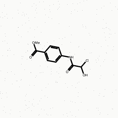 COC(=O)c1ccc(NC(=O)C(O)Cl)cc1